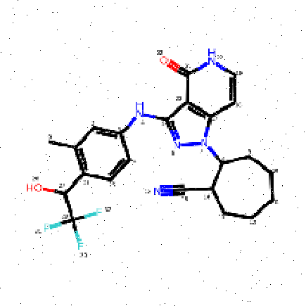 Cc1cc(Nc2nn(C3CCCCCC3C#N)c3cc[nH]c(=O)c23)ccc1C(O)C(F)(F)F